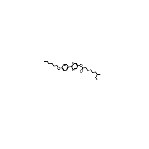 CCCCCCOc1ccc(-c2ncc(OC(=O)CCCCCC(C)CC)cn2)cc1